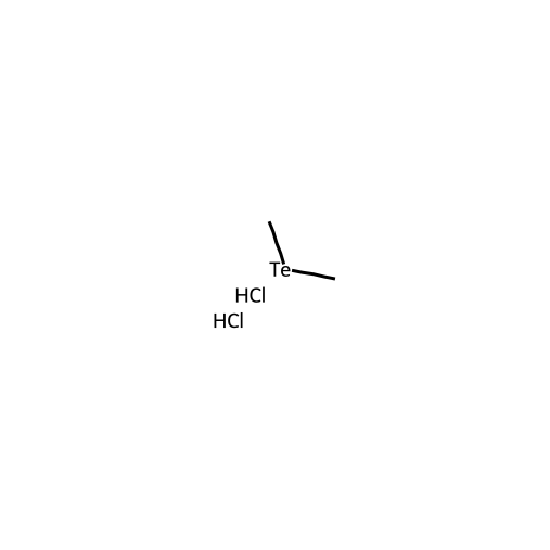 C[Te]C.Cl.Cl